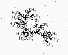 C=CC(=O)OCC(COCC(COC(=O)C=C)(COC(=O)C=C)COC(=O)NC1CC(C)(C)C[C@](C)(CNC(=O)OC(COCC(COC(=O)C=C)(COC(=O)C=C)COC(=O)C=C)(COC(=O)C=C)COC(=O)C=C)C1)(COC(=O)C=C)COC(=O)C=C